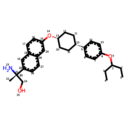 CCC(CC)Oc1ccc([C@H]2CC[C@@H](Oc3ccc4cc([C@@](C)(N)CO)ccc4c3)CC2)cc1